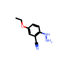 CCOc1ccc(NN)c(C#N)c1